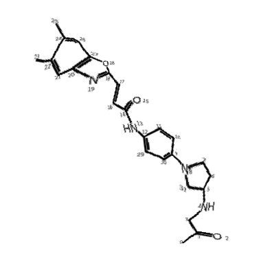 CC(=O)CNC1CCN(c2ccc(NC(=O)/C=C/c3nc4cc(C)c(C)cc4o3)cc2)C1